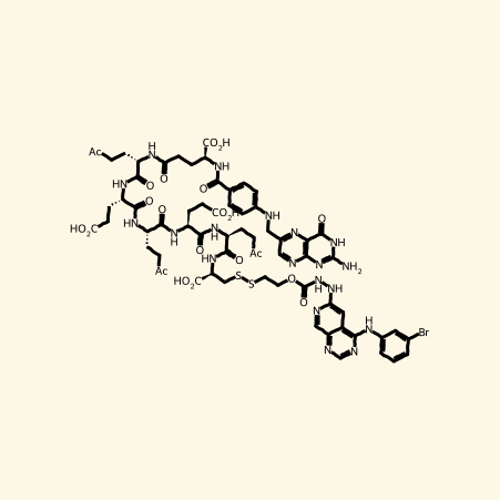 CC(=O)CC[C@H](NC(=O)CC[C@H](NC(=O)c1ccc(NCc2cnc3nc(N)[nH]c(=O)c3n2)cc1)C(=O)O)C(=O)N[C@@H](CCC(=O)O)C(=O)N[C@@H](CCC(C)=O)C(=O)N[C@@H](CCC(=O)O)C(=O)N[C@@H](CCC(C)=O)C(=O)N[C@@H](CSSCCOC(=O)NNc1cc2c(Nc3cccc(Br)c3)ncnc2cn1)C(=O)O